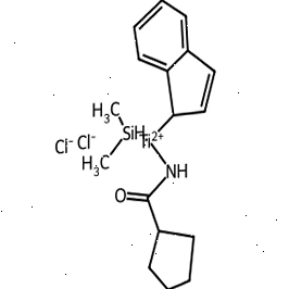 C[SiH](C)[Ti+2]([NH]C(=O)C1CCCC1)[CH]1C=Cc2ccccc21.[Cl-].[Cl-]